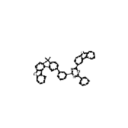 CC1(C)c2ccc(-c3cccc(-c4nc(-c5ccccc5)nc(-c5ccc6oc7ccccc7c6c5)n4)c3)cc2-c2c1ccc1oc3ccccc3c21